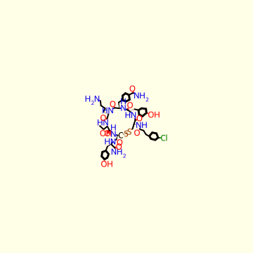 CC(O)C1NC(=O)[C@H](CCCCN)NC(=O)[C@@H](Cc2ccc(C(N)=O)cc2)NC(=O)[C@H](Cc2ccc(O)cc2)NC(=O)[C@H](NC(=O)CCc2ccc(Cl)cc2)CSSC[C@@H](C(=O)N[C@H](Cc2ccc(O)cc2)C(N)=O)NC1=O